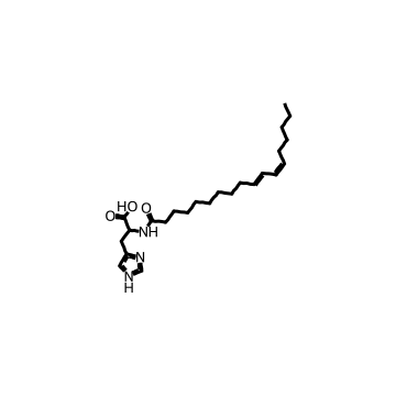 CCCCC/C=C\C=C\CCCCCCCCC(=O)NC(Cc1c[nH]cn1)C(=O)O